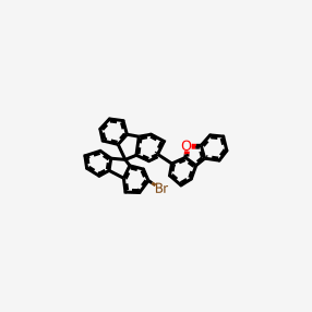 Brc1ccc2c(c1)C1(c3ccccc3-2)c2ccccc2-c2ccc(-c3cccc4c3oc3ccccc34)cc21